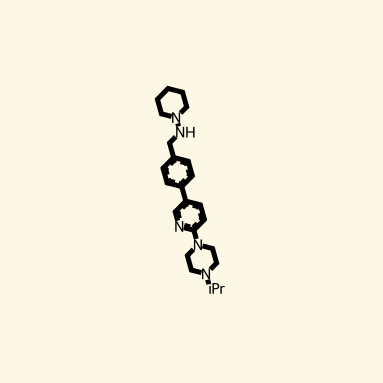 CC(C)N1CCN(c2ccc(-c3ccc(CNN4CCCCC4)cc3)cn2)CC1